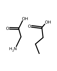 CCCC(=O)O.NCC(=O)O